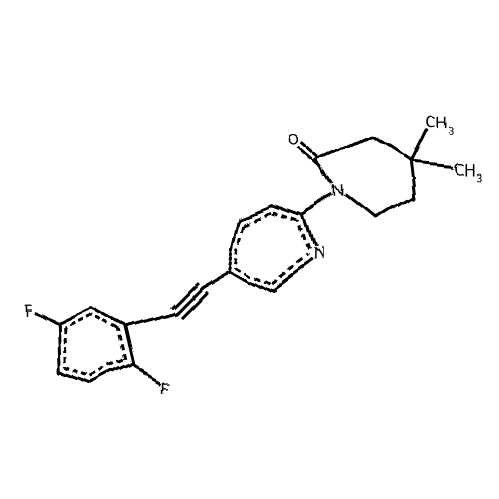 CC1(C)CCN(c2ccc(C#Cc3cc(F)ccc3F)cn2)C(=O)C1